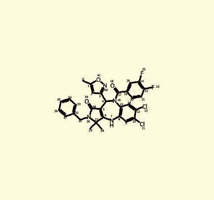 Cc1cc(C2C3=C(Nc4cc(Cl)c(Cl)cc4N2C(=O)c2ccc(F)c(F)c2)C(C)(C)N(Cc2ccccc2)C3=O)no1